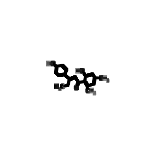 CC/C(=C\C(=O)c1c(C)cc(C)cc1O)c1ccc(O)cc1